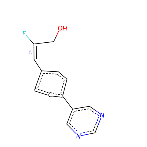 OC/C(F)=C\c1ccc(-c2cncnc2)cc1